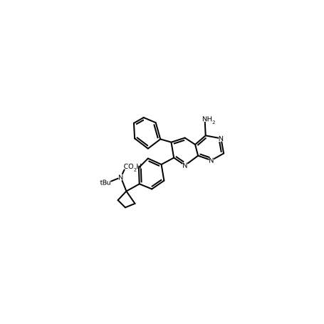 CC(C)(C)N(C(=O)O)C1(c2ccc(-c3nc4ncnc(N)c4cc3-c3ccccc3)cc2)CCC1